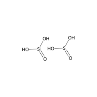 O=S(O)O.O=[Si](O)O